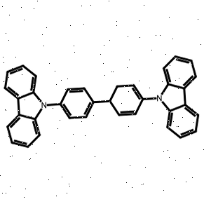 C1=CC(c2ccc(-n3c4ccccc4c4ccccc43)cc2)CC=C1n1c2ccccc2c2ccccc21